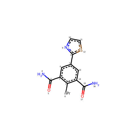 CCCc1c(C(N)=O)cc(-c2nccs2)cc1C(N)=O